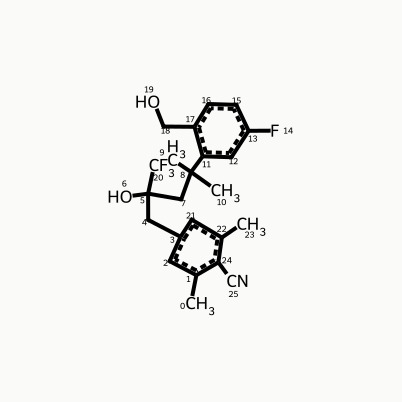 Cc1cc(CC(O)(CC(C)(C)c2cc(F)ccc2CO)C(F)(F)F)cc(C)c1C#N